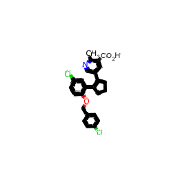 Cc1ncc(C2=C(c3cc(Cl)ccc3OCc3ccc(Cl)cc3)CCC2)cc1C(=O)O